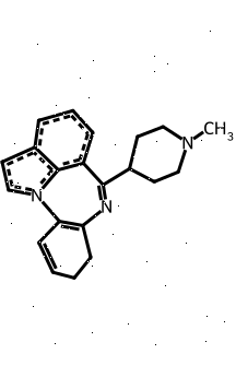 CN1CCC(C2=NC3=C(C=CCC3)n3ccc4cccc2c43)CC1